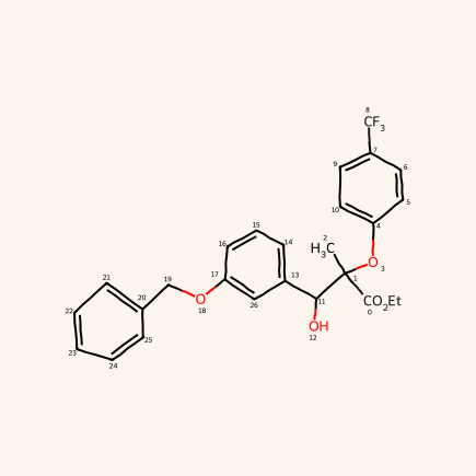 CCOC(=O)C(C)(Oc1ccc(C(F)(F)F)cc1)C(O)c1cccc(OCc2ccccc2)c1